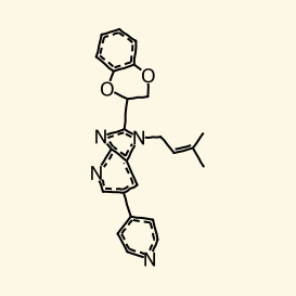 CC(C)=CCn1c(C2COc3ccccc3O2)nc2ncc(-c3ccncc3)cc21